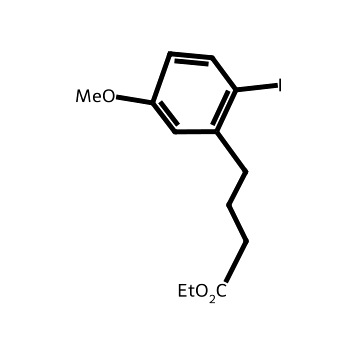 CCOC(=O)CCCc1cc(OC)ccc1I